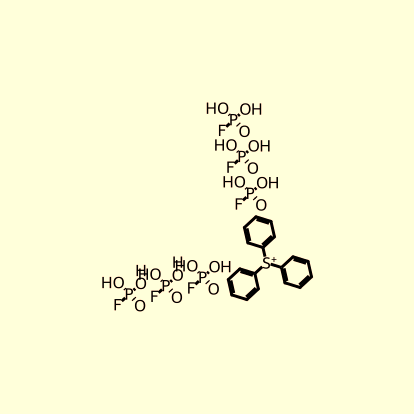 O=P(O)(O)F.O=P(O)(O)F.O=P(O)(O)F.O=P(O)(O)F.O=P(O)(O)F.O=P(O)(O)F.c1ccc([S+](c2ccccc2)c2ccccc2)cc1